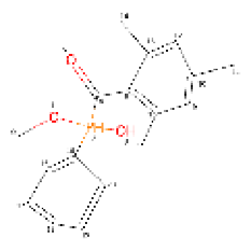 CO[PH](O)(C(=O)c1c(C)cc(C)cc1C)c1ccccc1